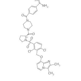 Cc1nc2c(OCc3c(Cl)ccc(S(=O)(=O)N4CCC[C@H]4C(=O)N4CCN(C(=O)c5ccc(C(=N)N)cc5)CC4)c3Cl)cccn2c1C